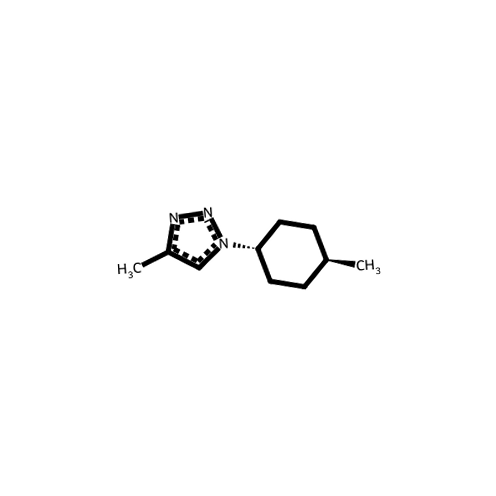 Cc1cn([C@H]2CC[C@H](C)CC2)nn1